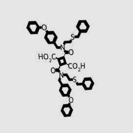 O=C(O)[C@H]1[C@H](C(=O)N(CCSCc2ccccc2)Cc2ccc(Oc3ccccc3)cc2)[C@H](C(=O)O)[C@H]1C(=O)N(CCSCc1ccccc1)Cc1ccc(Oc2ccccc2)cc1